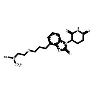 CC(C)(C)N(CCOCCCc1cccc2c1oc(=O)n2C1CCC(=O)NC1=O)C(=O)O